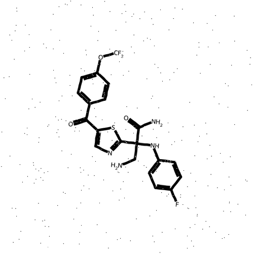 NCC(Nc1ccc(F)cc1)(C(N)=O)c1ncc(C(=O)c2ccc(OC(F)(F)F)cc2)s1